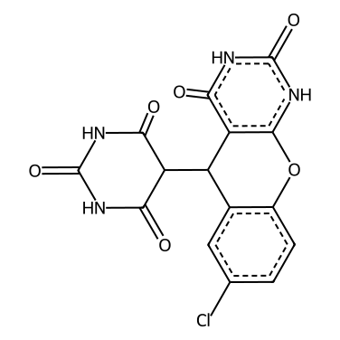 O=C1NC(=O)C(C2c3cc(Cl)ccc3Oc3[nH]c(=O)[nH]c(=O)c32)C(=O)N1